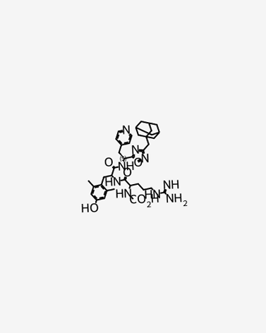 Cc1cc(O)cc(C)c1CC(NC(=O)C(CCCNC(=N)N)NC(=O)O)C(=O)N[C@@H](Cc1ccncc1)c1nc(CC23CC4CC(CC(C4)C2)C3)no1